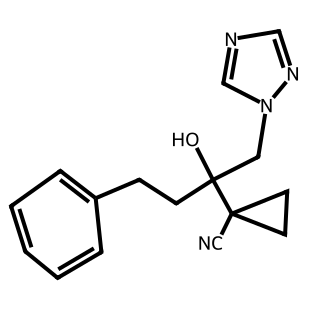 N#CC1(C(O)(CCc2ccccc2)Cn2cncn2)CC1